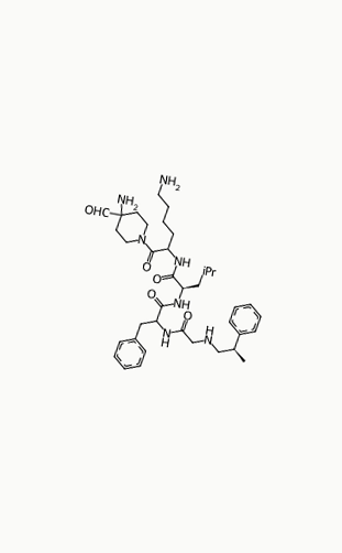 CC(C)C[C@@H](NC(=O)C(Cc1ccccc1)NC(=O)CNC[C@H](C)c1ccccc1)C(=O)NC(CCCCN)C(=O)N1CCC(N)(C=O)CC1